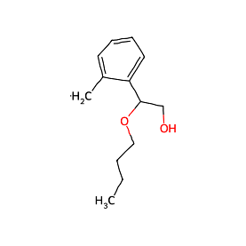 [CH2]c1ccccc1C(CO)OCCCC